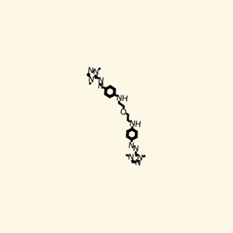 Cn1nc[n+](C)c1/N=N/c1ccc(NCCOCCNc2ccc(/N=N/c3n(C)nc[n+]3C)cc2)cc1